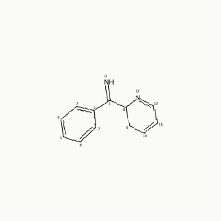 N=C(c1ccccc1)C1CC=CC=N1